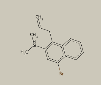 C=CCc1c([SiH](C)C)cc(Br)c2ccccc12